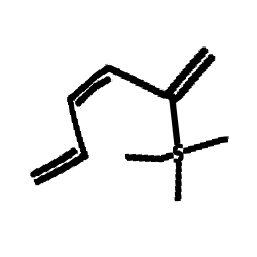 C=C/C=C\C(=C)S(C)(C)C